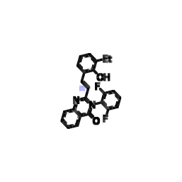 CCc1cccc(/C=C/c2nc3ccccc3c(=O)n2-c2c(F)cccc2F)c1O